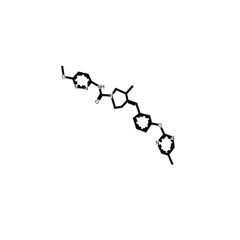 COc1ccc(NC(=O)N2CCC(=Cc3cccc(Oc4ncc(C)cn4)c3)C(C)C2)nn1